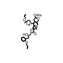 C=CCOc1ccccc1CC(O)CNC(=O)c1cc2c(N3CCC(C)(OCC=C)CC3)c(CC(=O)OC)c(C)cn2n1